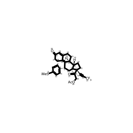 CSc1ccc([C@H]2C[C@@]3(C)[C@@H](CC[C@]3(C#CC(F)(F)F)C(=O)COC(C)=O)[C@@H]3CCC4=CC(=O)CCC4=C32)cc1